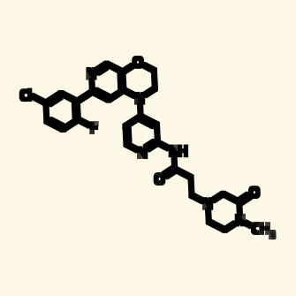 CN1CCN(CCC(=O)Nc2cc(N3CCOc4cnc(-c5cc(Cl)ccc5F)cc43)ccn2)CC1=O